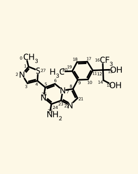 Cc1ncc(-c2cn3c(-c4cc(C(O)(CO)C(F)(F)F)ccc4C)cnc3c(N)n2)s1